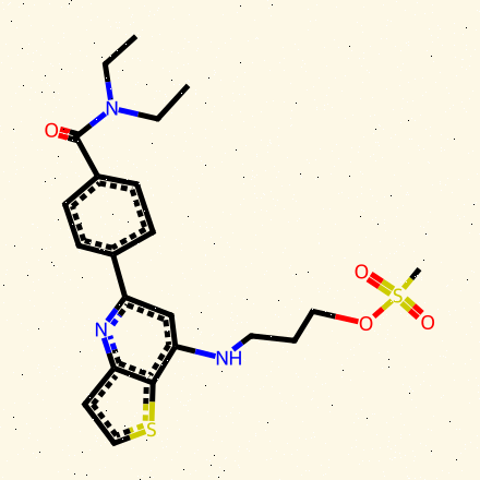 CCN(CC)C(=O)c1ccc(-c2cc(NCCCOS(C)(=O)=O)c3sccc3n2)cc1